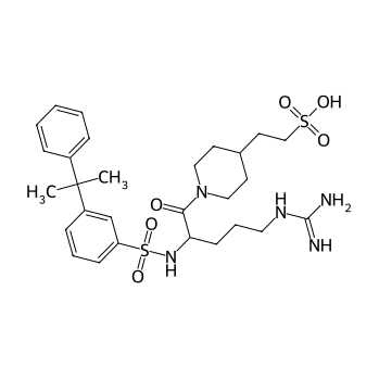 CC(C)(c1ccccc1)c1cccc(S(=O)(=O)NC(CCCNC(=N)N)C(=O)N2CCC(CCS(=O)(=O)O)CC2)c1